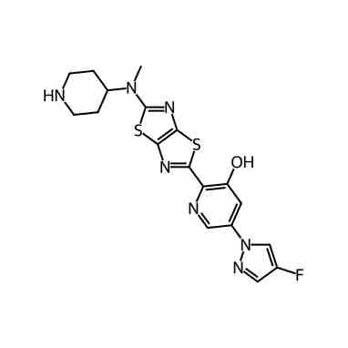 CN(c1nc2sc(-c3ncc(-n4cc(F)cn4)cc3O)nc2s1)C1CCNCC1